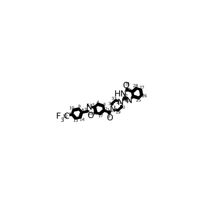 O=C(c1ccc2nc(-c3ccc(C(F)(F)F)cc3)oc2c1)N1CCN(c2nc3ccccc3c(=O)[nH]2)CC1